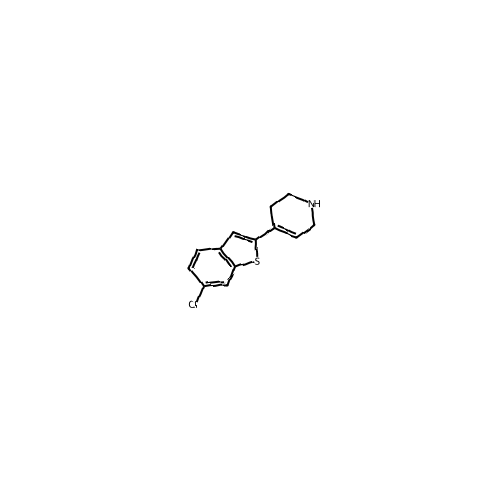 Clc1ccc2cc(C3=CCNCC3)sc2c1